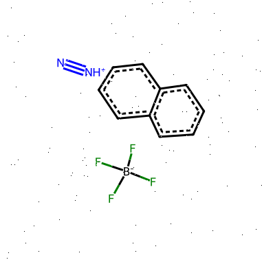 F[B-](F)(F)F.N#[NH+].c1ccc2ccccc2c1